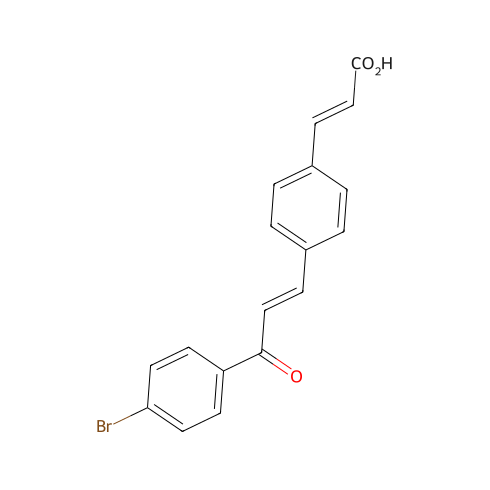 O=C(O)/C=C/c1ccc(/C=C/C(=O)c2ccc(Br)cc2)cc1